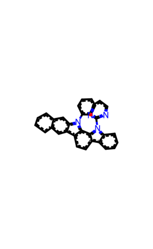 c1ccc(-n2c3cc4ccccc4cc3c3ccc4c5ccccc5n(-c5ncccn5)c4c32)cc1